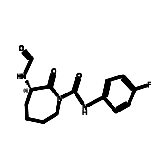 O=CN[C@H]1CCCCN(C(=O)Nc2ccc(F)cc2)C1=O